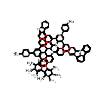 Bc1c(B)c(B)c2c(c1B)c1c(B)c(B)c(B)c(B)c1n2-c1ccc2c(c1)C(c1c(-c3ccccc3)cc(-c3ccc(C(C)(C)C)cc3)cc1-c1ccccc1)c1cc(-c3ccc4oc5ccccc5c4c3)cc3c1B2c1ccc(-c2ccc4c(c2)c2cccc5c6ccccc6n4c52)cc1N3c1c(-c2ccccc2)cc(-c2ccc(C(C)(C)C)cc2)cc1-c1ccccc1